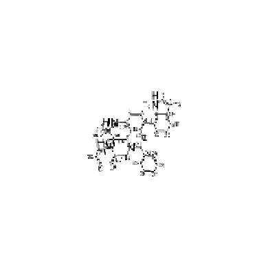 Cc1c[nH]c2c(-c3c(F)cc4c(c3F)[C@H](N(Cc3ccccc3)Cc3ccccc3)C(O)C(C)(C)N4)cccc12